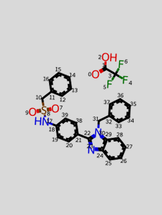 O=C(O)C(F)(F)F.O=S(=O)(Cc1ccccc1)Nc1ccc(-c2nc3ccccc3n2Cc2ccccc2)cc1